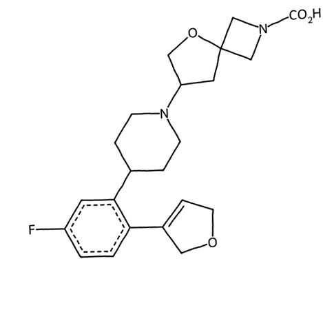 O=C(O)N1CC2(CC(N3CCC(c4cc(F)ccc4C4=CCOC4)CC3)CO2)C1